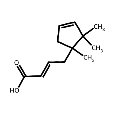 CC1(C)C=CCC1(C)CC=CC(=O)O